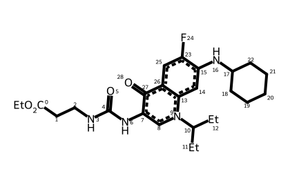 CCOC(=O)CCNC(=O)Nc1cn(C(CC)CC)c2cc(NC3CCCCC3)c(F)cc2c1=O